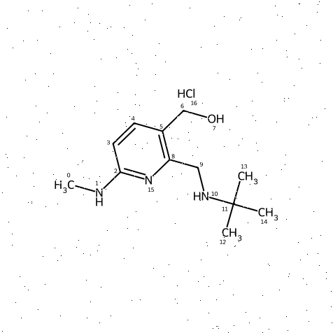 CNc1ccc(CO)c(CNC(C)(C)C)n1.Cl